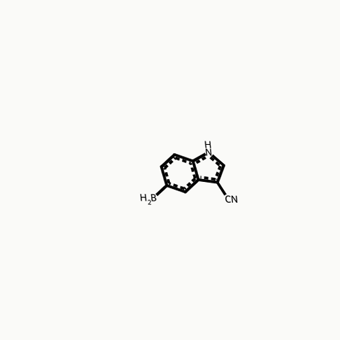 Bc1ccc2[nH]cc(C#N)c2c1